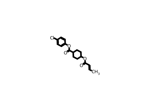 C/C=C/C(=O)OC1CCC(C(=O)Oc2ccc(Cl)cc2)CC1